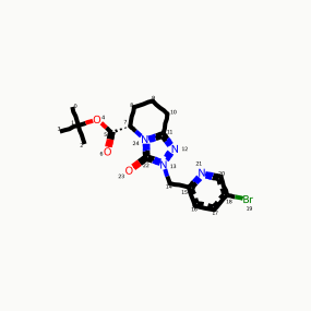 CC(C)(C)OC(=O)[C@@H]1CCCc2nn(Cc3ccc(Br)cn3)c(=O)n21